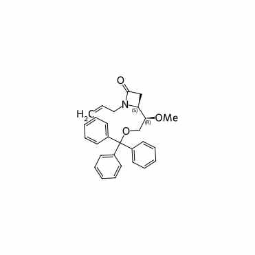 C=CCN1C(=O)C[C@H]1[C@H](COC(c1ccccc1)(c1ccccc1)c1ccccc1)OC